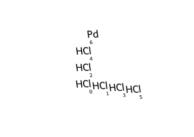 Cl.Cl.Cl.Cl.Cl.Cl.[Pd]